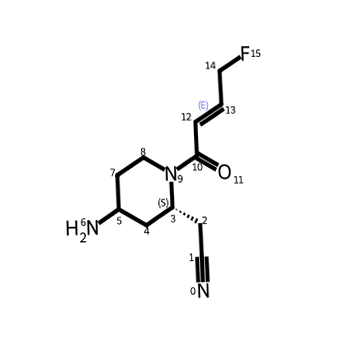 N#CC[C@@H]1CC(N)CCN1C(=O)/C=C/CF